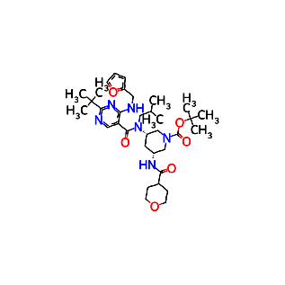 CC(C)CN(C(=O)c1cnc(C(C)(C)C)nc1NCc1ccco1)[C@H]1C[C@@H](NC(=O)C2CCOCC2)CN(C(=O)OC(C)(C)C)C1